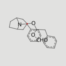 O=COC(Cc1ccccc1)OC1CC2CCC(C1)N2Cc1ccccc1